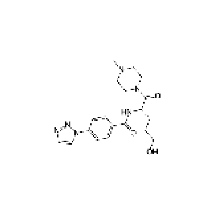 CN1CCN(C(=O)[C@H](CCCO)NC(=O)c2ccc(-n3ccnn3)cc2)CC1